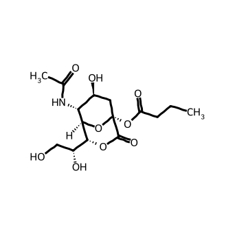 CCCC(=O)O[C@@]12C[C@H](O)[C@@H](NC(C)=O)[C@@H](O1)[C@@H]([C@H](O)CO)OC2=O